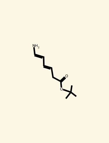 CC(C)(C)OC(=O)CC=CC=CN